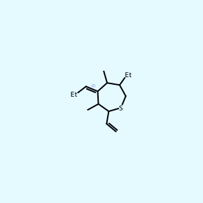 C=CC1SCC(CC)C(C)/C(=C/CC)C1C